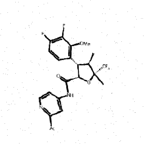 COc1c([C@@H]2[C@@H](C)[C@](C)(C(F)(F)F)O[C@H]2C(=O)Nc2ccnc(C(C)=O)c2)ccc(F)c1F